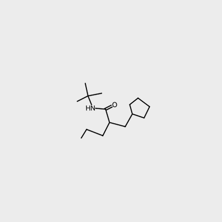 CCCC(CC1CCCC1)C(=O)NC(C)(C)C